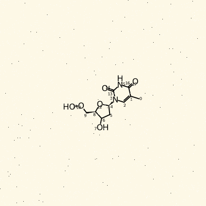 Cc1cn([C@H]2CC(O)[C@@H](COO)O2)c(=O)[nH]c1=O